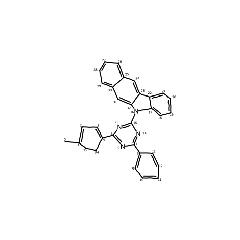 CC1=CC=C(c2nc(-c3ccccc3)nc(-n3c4ccccc4c4cc5ccccc5cc43)n2)CC1